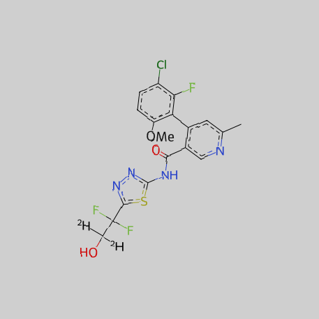 [2H]C([2H])(O)C(F)(F)c1nnc(NC(=O)c2cnc(C)cc2-c2c(OC)ccc(Cl)c2F)s1